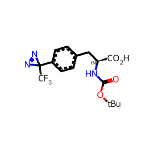 CC(C)(C)OC(=O)N[C@@H](Cc1ccc(C2(C(F)(F)F)N=N2)cc1)C(=O)O